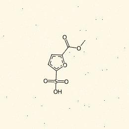 COC(=O)c1ccc(S(=O)(=O)O)o1